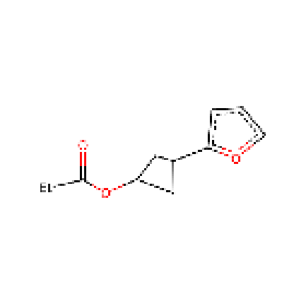 CCC(=O)OC1CC(c2ccco2)C1